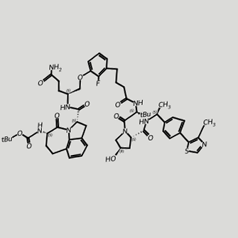 Cc1ncsc1-c1ccc([C@H](C)NC(=O)[C@@H]2C[C@@H](O)CN2C(=O)[C@@H](NC(=O)CCCc2cccc(OC[C@H](CCC(N)=O)NC(=O)[C@@H]3Cc4cccc5c4N3C(=O)[C@@H](NC(=O)OC(C)(C)C)CC5)c2F)C(C)(C)C)cc1